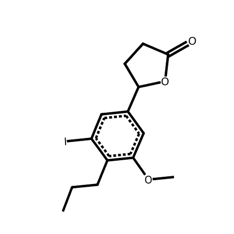 CCCc1c(I)cc(C2CCC(=O)O2)cc1OC